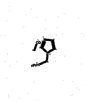 CC(=O)O.CCCCCCn1ccnc1